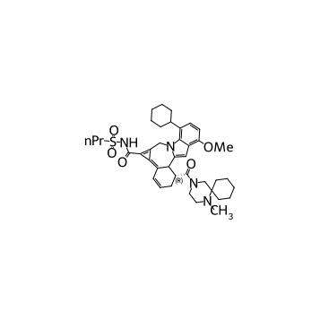 CCCS(=O)(=O)NC(=O)C1=C2Cn3c(cc4c(OC)ccc(C5CCCCC5)c43)C3C(=C21)C=CC[C@H]3C(=O)N1CCN(C)C2(CCCCC2)C1